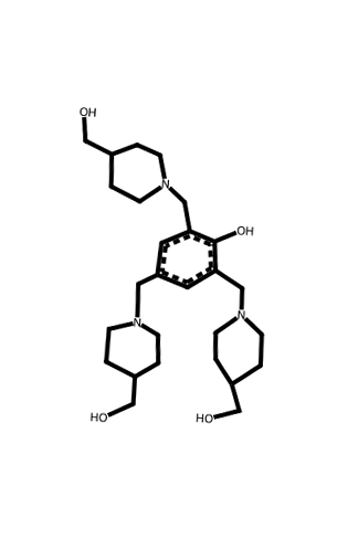 OCC1CCN(Cc2cc(CN3CCC(CO)CC3)c(O)c(CN3CCC(CO)CC3)c2)CC1